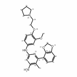 COc1cc(Nc2nc(N)c(C)c(-c3cccc4c3OCO4)n2)ccc1OCCN1CCCC1